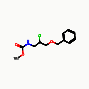 CC(C)(C)OC(=O)NCC(Cl)COCc1ccccc1